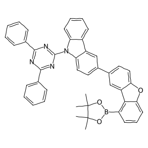 CC1(C)OB(c2cccc3oc4ccc(-c5ccc6c(c5)c5ccccc5n6-c5nc(-c6ccccc6)nc(-c6ccccc6)n5)cc4c23)OC1(C)C